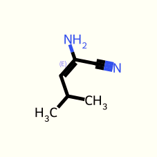 CC(C)/C=C(/N)C#N